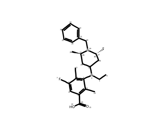 CCN(c1c(C)c(F)cc(C(=O)O)c1C)C1C[C@@H](C)N(Cc2ccccc2)[C@H](C)C1